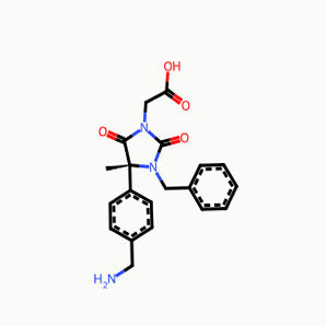 C[C@@]1(c2ccc(CN)cc2)C(=O)N(CC(=O)O)C(=O)N1Cc1ccccc1